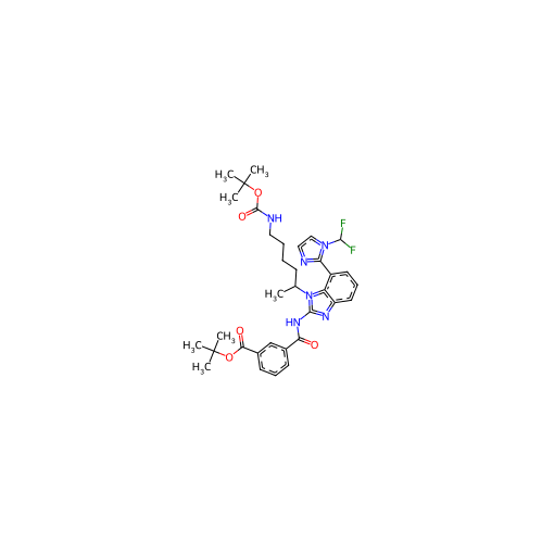 CC(CCCCNC(=O)OC(C)(C)C)n1c(NC(=O)c2cccc(C(=O)OC(C)(C)C)c2)nc2cccc(-c3nccn3C(F)F)c21